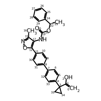 C=C(O)C1(c2ccc(-c3ccc(-c4onc(C)c4NC(=O)O[C@H](C)c4ccccc4)cc3)cc2)CC1